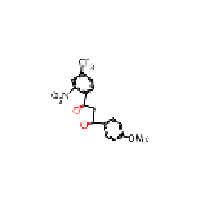 COc1ccc(C(=O)CC(=O)c2ccc(C(F)(F)F)cc2[N+](=O)[O-])cc1